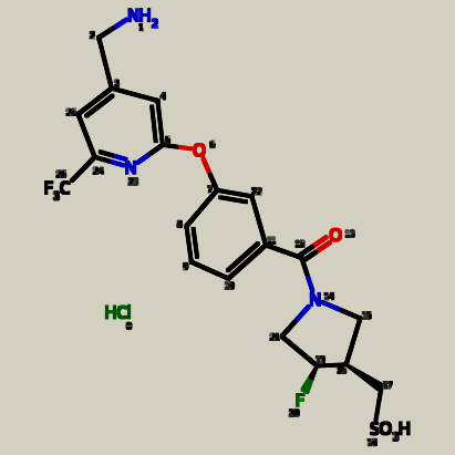 Cl.NCc1cc(Oc2cccc(C(=O)N3C[C@@H](CS(=O)(=O)O)[C@@H](F)C3)c2)nc(C(F)(F)F)c1